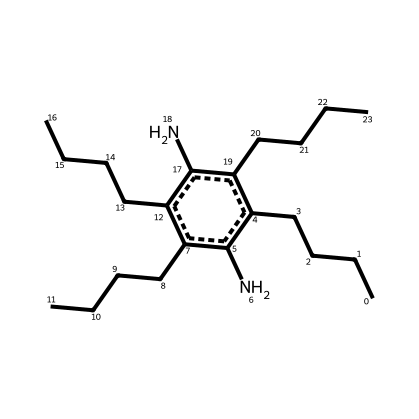 CCCCc1c(N)c(CCCC)c(CCCC)c(N)c1CCCC